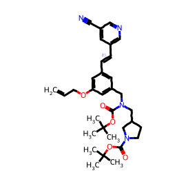 C=CCOc1cc(/C=C/c2cncc(C#N)c2)cc(CN(CC2CCN(C(=O)OC(C)(C)C)C2)C(=O)OC(C)(C)C)c1